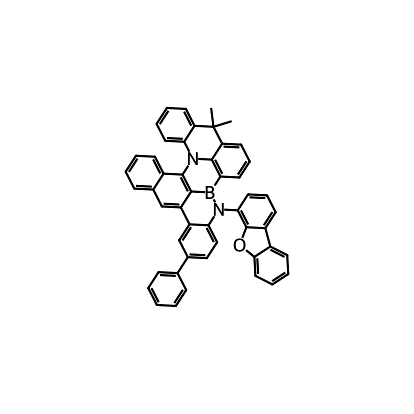 CC1(C)c2ccccc2N2c3c(cccc31)B1c3c(cc4ccccc4c32)-c2cc(-c3ccccc3)ccc2N1c1cccc2c1oc1ccccc12